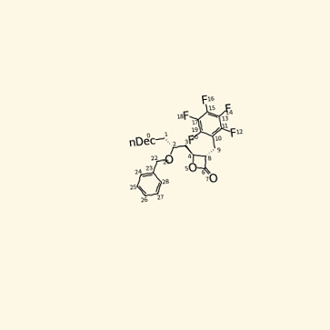 CCCCCCCCCCC[C@H](C[C@@H]1OC(=O)[C@H]1Cc1c(F)c(F)c(F)c(F)c1F)OCc1ccccc1